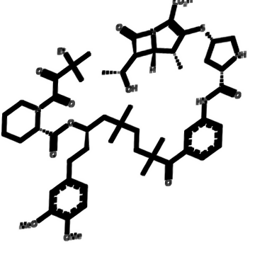 CCC(C)(C)C(=O)C(=O)N1CCCC[C@H]1C(=O)O[C@H](CCc1ccc(OC)c(OC)c1)CC(C)(C)CCC(C)(C)C(=O)c1cccc(NC(=O)[C@@H]2C[C@H](SC3=C(C(=O)O)N4C(=O)[C@H]([C@@H](C)O)[C@H]4[C@H]3C)CN2)c1